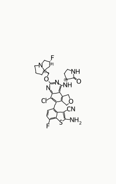 N#Cc1c(N)sc2c(F)ccc(-c3c4c(c5c(N[C@@H]6CCNC6=O)nc(OC[C@@]67CCCN6C[C@H](F)C7)nc5c3Cl)COC4)c12